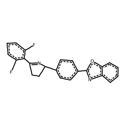 Fc1cccc(F)c1C1=NC(c2ccc(-c3nc4ccccc4o3)cc2)CC1